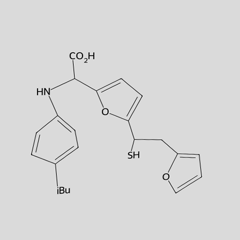 CCC(C)c1ccc(NC(C(=O)O)c2ccc(C(S)Cc3ccco3)o2)cc1